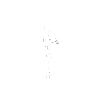 C[C@@H](c1cc(-c2ccc(OCc3ccc(Cl)cc3)cc2)no1)[C@](O)(Cn1cncn1)c1ccc(F)cc1F